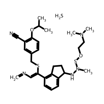 C=N/C=C(\SCc1ccc(OC(C)C)c(C#N)c1)c1cccc2c1CCC2NN(C)SOCCN(C)C.S